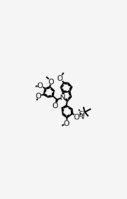 COc1ccc2cc(-c3ccc(OC)c(O[Si](C)(C)C(C)(C)C)c3)n(C(=O)c3cc(OC)c(OC)c(OC)c3)c2c1